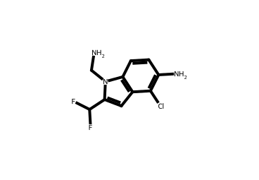 NCn1c(C(F)F)cc2c(Cl)c(N)ccc21